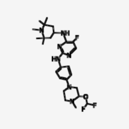 CN1CCN(c2ccc(Nc3ncc(F)c(NC4CC(C)(C)N(C)C(C)(C)C4)n3)cc2)CC1OC(F)F